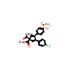 COC(=O)C1(C(=O)OC)C=C(c2ccc(Cl)cc2)C(c2ccc(S(N)(=O)=O)cc2)=C1